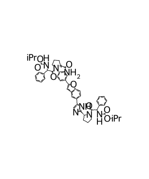 CC(C)OC(=O)N[C@@H](C(=O)N1CCC[C@H]1c1ncc(-c2ccc3oc(-c4ccc([N+]5(C(=O)[C@H](NC(=O)OC(C)C)c6ccccc6)CCC[C@H]5C(N)=O)cc4)cc3c2)[nH]1)c1ccccc1